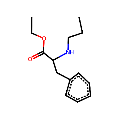 CCCNC(Cc1ccccc1)C(=O)OCC